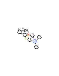 C[Si]1(C)c2ccccc2-c2cc3c(cc21)P(=O)(c1ccccc1)c1cc(-c2nc(-c4ccccc4)nc(-c4ccccc4)n2)ccc1S3